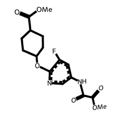 COC(=O)C(=O)Nc1cnc(OC2CCC(C(=O)OC)CC2)c(F)c1